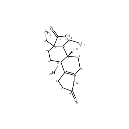 CCC1[C@@H]2CCC3=C(CCC(=O)C3)[C@H]2CCC1(CC)C(C)=O